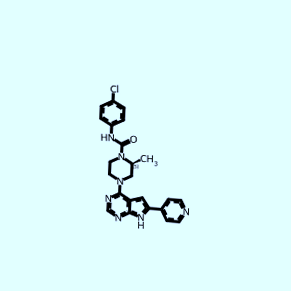 C[C@H]1CN(c2ncnc3[nH]c(-c4ccncc4)cc23)CCN1C(=O)Nc1ccc(Cl)cc1